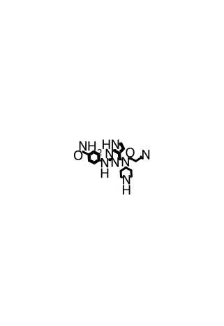 N#CCC(=O)N(c1nc(Nc2ccc(C(N)=O)cc2)nc2[nH]ccc12)C1CCNCC1